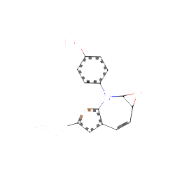 CCOC(=O)c1cc2c(s1)N(c1ccc(O)cc1)C1OC1C=C2